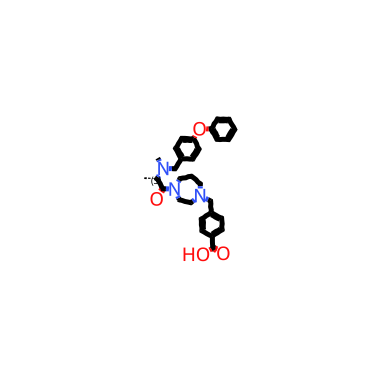 C[C@@H](C(=O)N1CCCN(Cc2ccc(C(=O)O)cc2)CC1)N(C)Cc1ccc(Oc2ccccc2)cc1